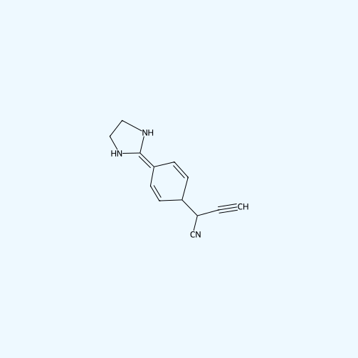 C#CC(C#N)C1C=CC(=C2NCCN2)C=C1